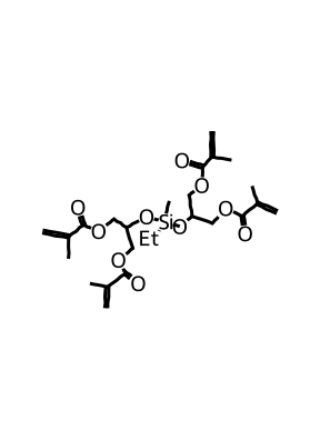 [CH2]C[Si](C)(OC(COC(=O)C(=C)C)COC(=O)C(=C)C)OC(COC(=O)C(=C)C)COC(=O)C(=C)C